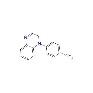 FC(F)(F)c1ccc(N2CC=Nc3ccccc32)cc1